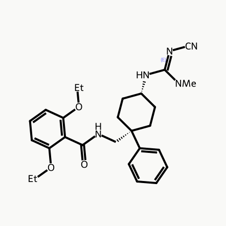 CCOc1cccc(OCC)c1C(=O)NC[C@]1(c2ccccc2)CC[C@H](N/C(=N/C#N)NC)CC1